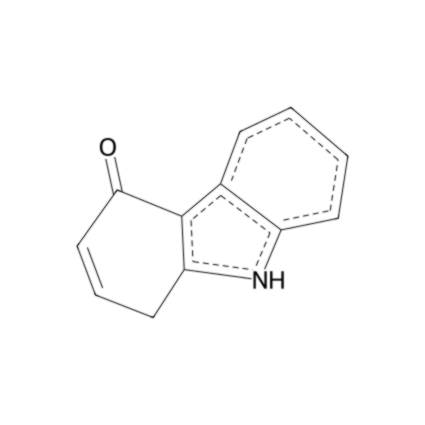 O=C1C=CCc2[nH]c3ccccc3c21